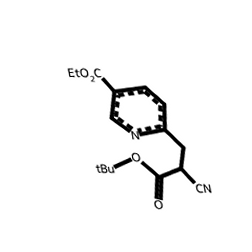 CCOC(=O)c1ccc(CC(C#N)C(=O)OC(C)(C)C)nc1